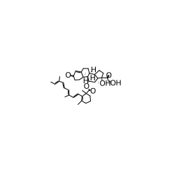 CC=C(C)C=CC=C(C)C=CC1=C(C)CCCC1(C)C(=O)O[C@H]1C[C@@]2(C)[C@@H](CC[C@]2(O)C(=O)CO)[C@@H]2CCC3=CC(=O)CC[C@]3(C)[C@H]21